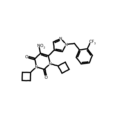 O=c1c([N+](=O)[O-])c(-c2cnn(Cc3ccccc3C(F)(F)F)c2)n(C2CCC2)c(=O)n1C1CCC1